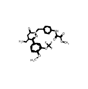 CCC1CC(=O)N(Cc2ccc(NC(=O)C(=O)OC)cc2)N=C1c1ccc(OC)c(OC(F)(F)F)c1